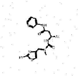 CC(=O)[C@H](CC(=O)Nc1cccnc1)NC(=O)N(C)Cc1csc(C(C)C)n1